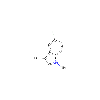 CC(C)c1cn(C(C)C)c2ccc(F)cc12